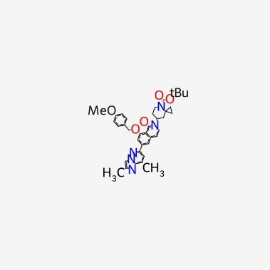 COc1ccc(COc2cc(-c3cc(C)c4nc(C)cn4n3)cc3ccn(C4CCN(C(=O)OC(C)(C)C)C5(CC5)C4)c(=O)c23)cc1